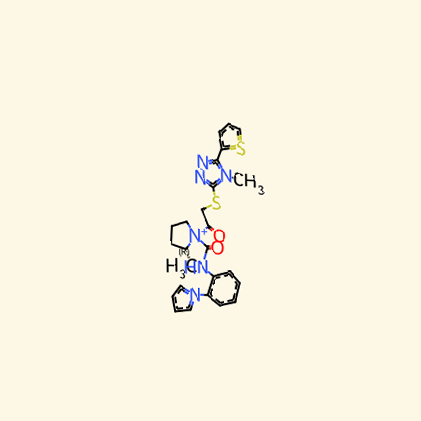 C[C@@H]1CCC[N+]1(C(=O)CSc1nnc(-c2cccs2)n1C)C(=O)Nc1ccccc1-n1cccc1